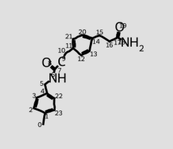 Cc1ccc(CNC(=O)CCc2ccc(CCC(N)=O)cc2)cc1